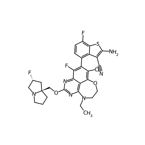 CCN1CCOc2c(Cl)c(-c3ccc(F)c4sc(N)c(C#N)c34)c(F)c3nc(OC[C@@]45CCCN4C[C@H](F)C5)nc1c23